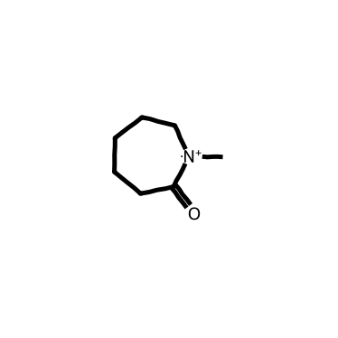 C[N+]1CCCCCC1=O